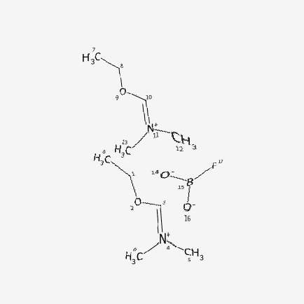 CCOC=[N+](C)C.CCOC=[N+](C)C.[O-]B([O-])F